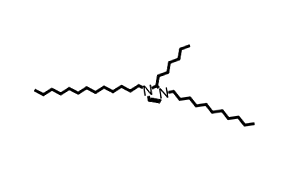 CCCCCCCCCCCCCN1C=CN(CCCCCCCCCCC)C1CCCCCC